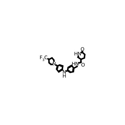 O=C1CCC(C(=O)NCc2ccc(Nc3ccc(N4CCC(C(F)(F)F)CC4)cc3)cc2)CN1